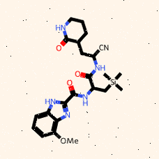 COc1cccc2[nH]c(C(=O)NC(C[Si](C)(C)C)C(=O)NC(C#N)CC3CCCNC3=O)nc12